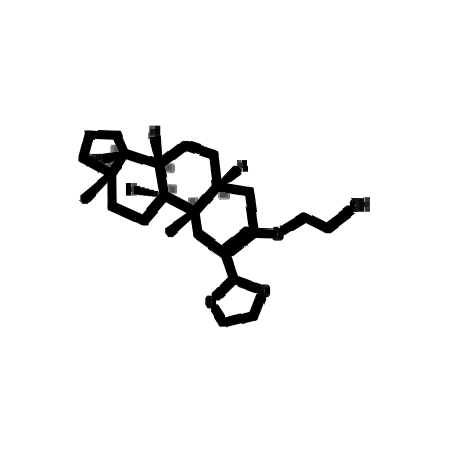 C[C@]12CC(C3OCCO3)=C(OCCO)C[C@H]1CC[C@@H]1[C@@H]2CC[C@]2(C)CCC[C@]12O